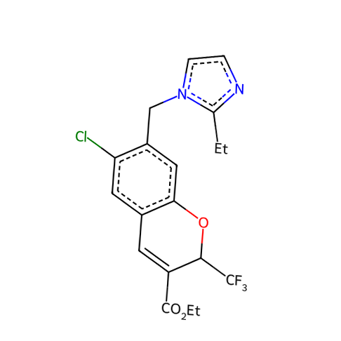 CCOC(=O)C1=Cc2cc(Cl)c(Cn3ccnc3CC)cc2OC1C(F)(F)F